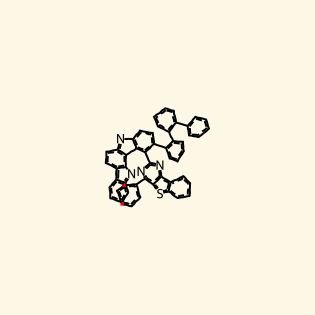 c1ccc(-c2ccccc2-c2ccccc2-c2ccc3c(c2-c2nc(-c4ccccc4)c4sc5ccccc5c4n2)-c2c4c(ccc2=N3)=c2ccccc2=N4)cc1